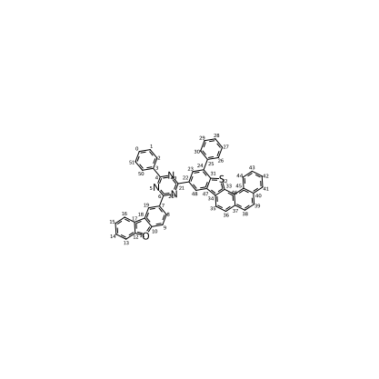 c1ccc(-c2nc(-c3ccc4oc5ccccc5c4c3)nc(-c3cc(-c4ccccc4)c4sc5c(ccc6ccc7ccccc7c65)c4c3)n2)cc1